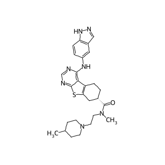 CC1CCN(CCN(C)C(=O)[C@H]2CCc3c(sc4ncnc(Nc5ccc6[nH]ncc6c5)c34)C2)CC1